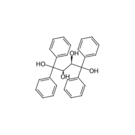 O[C@H]([C@@H](O)C(O)(c1ccccc1)c1ccccc1)C(O)(c1ccccc1)c1ccccc1